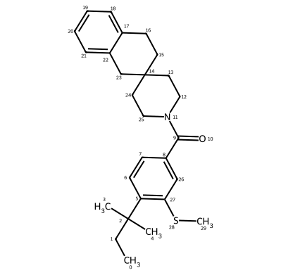 CCC(C)(C)c1ccc(C(=O)N2CCC3(CCc4ccccc4C3)CC2)cc1SC